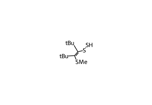 CS/C(=C(\SS)C(C)(C)C)C(C)(C)C